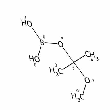 COC(C)(C)OB(O)O